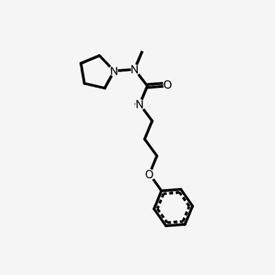 CN(C(=O)[N]CCCOc1ccccc1)N1CCCC1